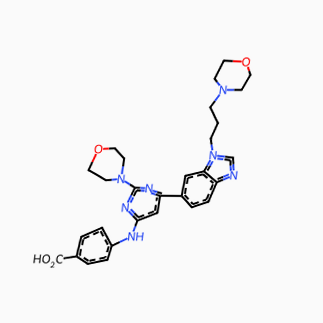 O=C(O)c1ccc(Nc2cc(-c3ccc4ncn(CCCN5CCOCC5)c4c3)nc(N3CCOCC3)n2)cc1